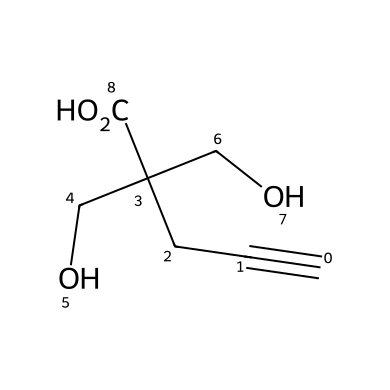 C#CCC(CO)(CO)C(=O)O